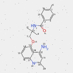 Cc1ccc(C(=O)NC(C)(C)COc2cccc3nc(C)cc(N)c23)cc1